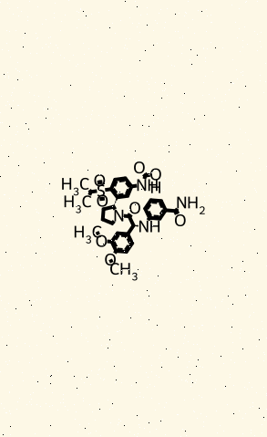 COc1ccc([C@@H](Nc2cccc(C(N)=O)c2)C(=O)N2CCC[C@@H]2c2cc(NC(=O)O)ccc2S(=O)(=O)C(C)C)cc1OC